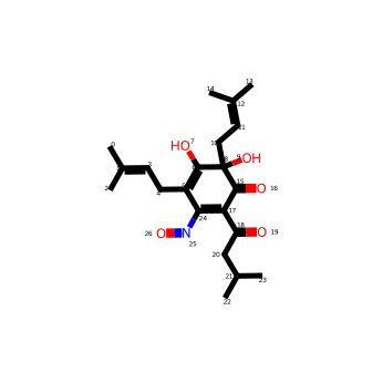 CC(C)=CCC1=C(O)C(O)(CC=C(C)C)C(=O)C(C(=O)CC(C)C)=C1N=O